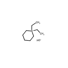 CC[N+]1(CC)CCCCC1.[OH-]